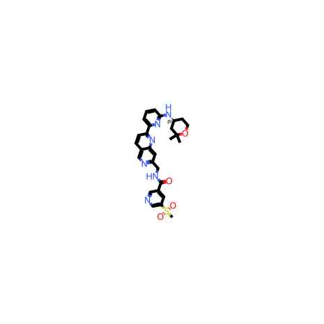 CC1(C)C[C@H](Nc2cccc(-c3ccc4cnc(CNC(=O)c5cncc(S(C)(=O)=O)c5)cc4n3)n2)CCO1